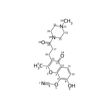 Cc1oc2c(OC#N)c(O)ccc2c(=O)c1CCC(=O)N1CCN(C)CC1